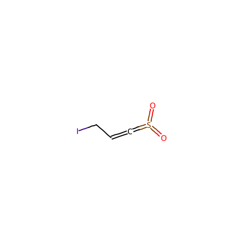 O=S(=O)=C=CCI